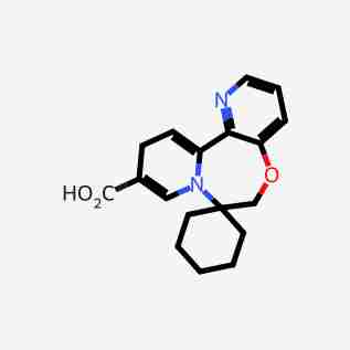 O=C(O)C1=CN2C(=CC1)c1ncccc1OCC21CCCCC1